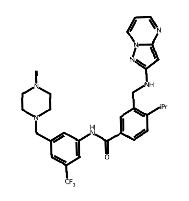 CC(C)c1ccc(C(=O)Nc2cc(CN3CCN(C)CC3)cc(C(F)(F)F)c2)cc1CNc1cc2ncccn2n1